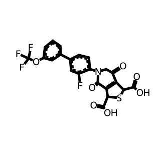 O=C1CN(c2ccc(-c3cccc(OC(F)(F)F)c3)cc2F)C(=O)C2=C1C(C(=O)O)SC2C(=O)O